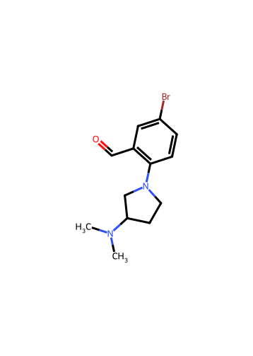 CN(C)C1CCN(c2ccc(Br)cc2C=O)C1